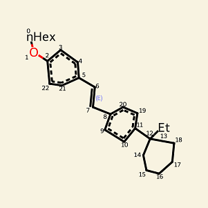 CCCCCCOc1ccc(/C=C/c2ccc(C3(CC)CCCCC3)cc2)cc1